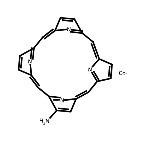 NC1=CC2=CC3=NC(=CC4=NC(=CC5=NC(=CC1=N2)C=C5)C=C4)C=C3.[Co]